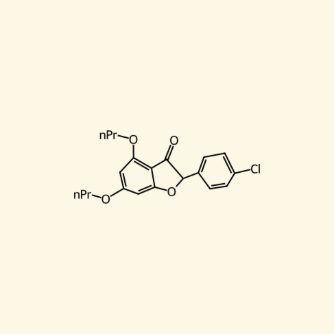 CCCOc1cc(OCCC)c2c(c1)OC(c1ccc(Cl)cc1)C2=O